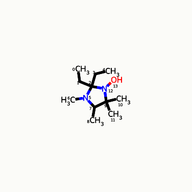 CCC1(CC)N(C)C(C)C(C)(C)N1O